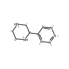 c1nnnnc1C1CNCCN1